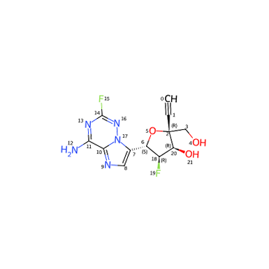 C#C[C@]1(CO)O[C@@H](c2cnc3c(N)nc(F)nn23)[C@H](F)[C@@H]1O